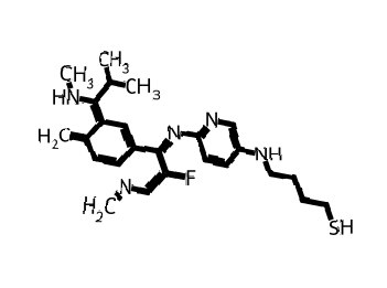 C=N/C=C(F)\C(=N/c1ccc(NCCCCS)cn1)c1ccc(=C)/c(=C(\NC)C(C)C)c1